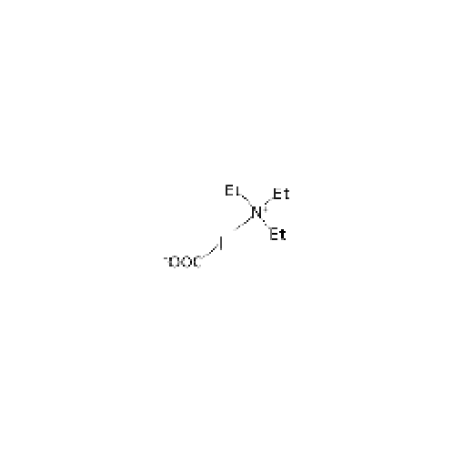 CC[N+](C)(CC)CC.O=C([O-])I